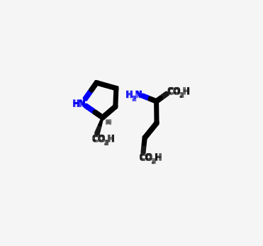 NC(CCC(=O)O)C(=O)O.O=C(O)[C@@H]1CCCN1